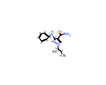 CC[C@@H](CC#N)n1cc(C(N)=O)c(Nc2ccccc2)n1